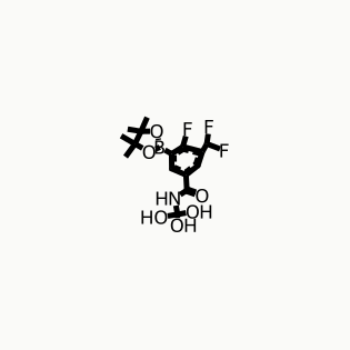 CC1(C)OB(c2cc(C(=O)NC(O)(O)O)cc(C(F)F)c2F)OC1(C)C